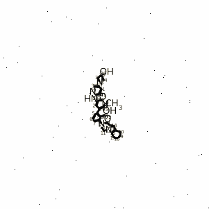 Cn1cc(-c2cccc(N3CCn4c(cc5c4CCCC5)C3=O)c2CO)cc(Nc2ccc(N3CC(O)C3)cn2)c1=O